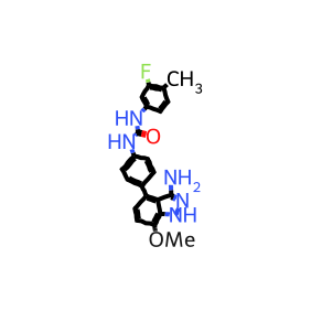 COc1ccc(-c2ccc(NC(=O)Nc3ccc(C)c(F)c3)cc2)c2c(N)n[nH]c12